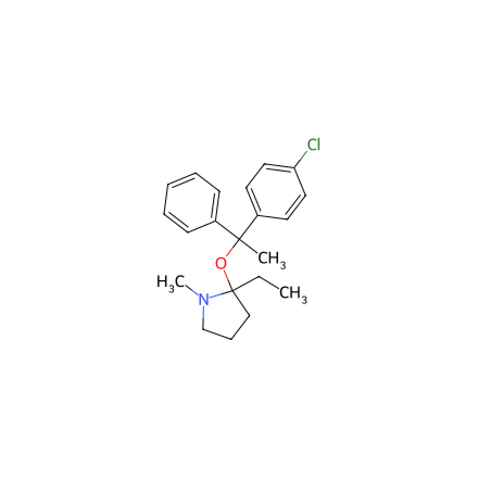 CCC1(OC(C)(c2ccccc2)c2ccc(Cl)cc2)CCCN1C